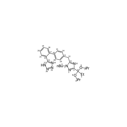 CCCCn1nc(C(CC)(OC(C)C)OC(C)C)nc1Cc1ccc(-c2ccccc2-c2nnn[nH]2)cc1